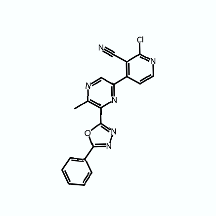 Cc1ncc(-c2ccnc(Cl)c2C#N)nc1-c1nnc(-c2ccccc2)o1